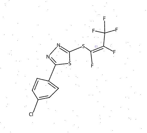 F/C(Sc1nnc(-c2ccc(Cl)cc2)s1)=C(\F)C(F)(F)F